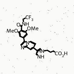 COc1cc(-c2cnc3cc(/C(C=N)=C/NCCCC(=O)O)ccn23)cc(OC)c1C(=O)NCC(F)(F)F